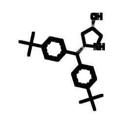 CC(C)(C)c1ccc(C(c2ccc(C(C)(C)C)cc2)[C@@H]2C[C@H](O)CN2)cc1